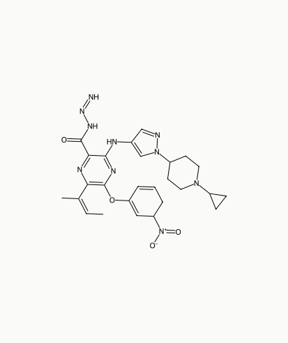 C/C=C(/C)c1nc(C(=O)NN=N)c(Nc2cnn(C3CCN(C4CC4)CC3)c2)nc1OC1=CC([N+](=O)[O-])CC=C1